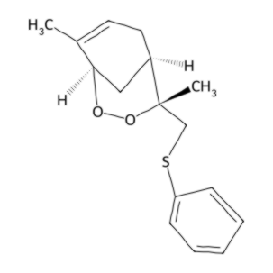 CC1=CC[C@@H]2C[C@H]1OO[C@@]2(C)CSc1ccccc1